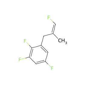 C/C(=C/F)Cc1cc(F)cc(F)c1F